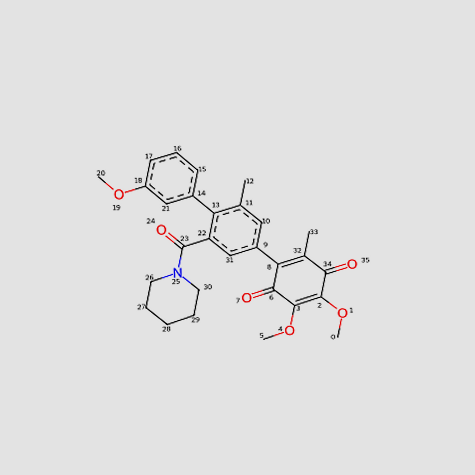 COC1=C(OC)C(=O)C(c2cc(C)c(-c3cccc(OC)c3)c(C(=O)N3CCCCC3)c2)=C(C)C1=O